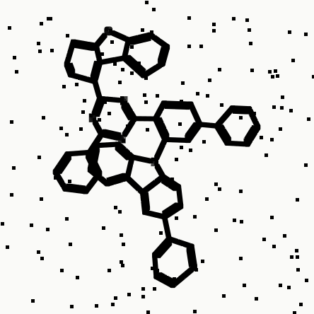 c1ccc(-c2ccc(-c3nc(-c4ccccc4)nc(-c4cccc5oc6ccccc6c45)n3)c(-n3c4ccccc4c4cc(-c5ccccc5)ccc43)c2)cc1